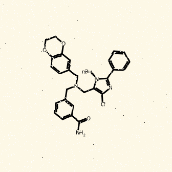 CCCCn1c(-c2ccccc2)nc(Cl)c1CN(Cc1cccc(C(N)=O)c1)Cc1ccc2c(c1)OCCO2